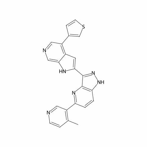 Cc1ccncc1-c1ccc2[nH]nc(-c3cc4c(-c5ccsc5)cncc4[nH]3)c2n1